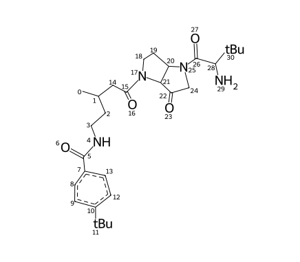 CC(CCNC(=O)c1ccc(C(C)(C)C)cc1)CC(=O)N1CCC2C1C(=O)CN2C(=O)C(N)C(C)(C)C